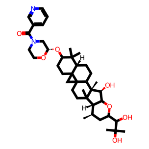 C[C@@H]1CC(C(O)C(C)(C)O)OC2[C@H]1C1(C)CCC34CC35CCC(O[C@H]3CN(C(=O)c6cccnc6)CCO3)C(C)(C)[C@@H]5CCC4[C@]1(C)[C@H]2O